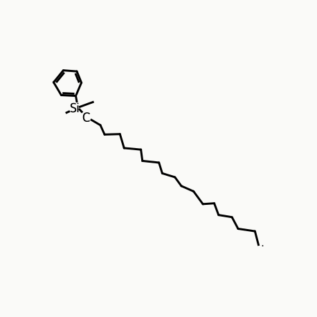 [CH2]CCCCCCCCCCCCCCCCCC[Si](C)(C)c1ccccc1